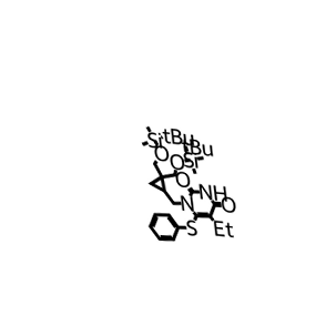 CCc1c(Sc2ccccc2)n(CC2CC2(CO[Si](C)(C)C(C)(C)C)CO[Si](C)(C)C(C)(C)C)c(=O)[nH]c1=O